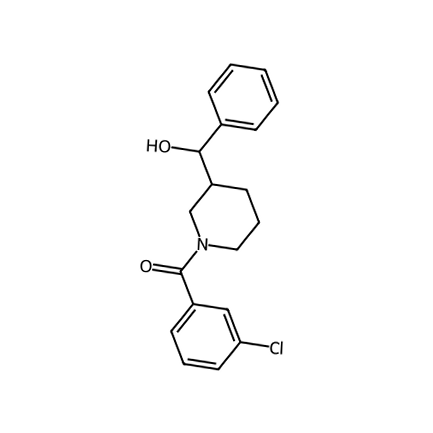 O=C(c1cccc(Cl)c1)N1CCCC(C(O)c2ccccc2)C1